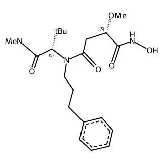 CNC(=O)[C@@H](N(CCCc1ccccc1)C(=O)C[C@H](OC)C(=O)NO)C(C)(C)C